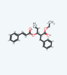 CCOC(=O)C(Cc1ccccc1)C(CC)OC(=O)C=Cc1ccccc1